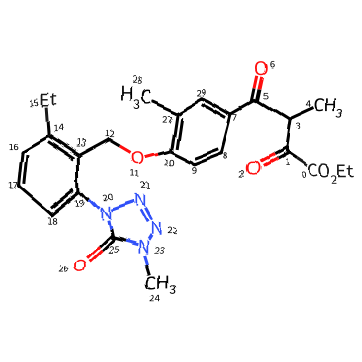 CCOC(=O)C(=O)C(C)C(=O)c1ccc(OCc2c(CC)cccc2-n2nnn(C)c2=O)c(C)c1